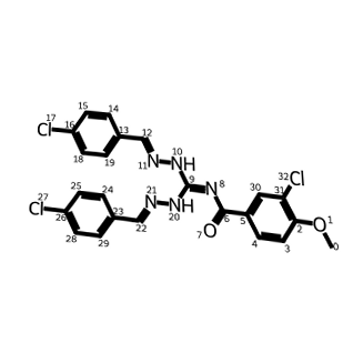 COc1ccc(C(=O)N=C(NN=Cc2ccc(Cl)cc2)NN=Cc2ccc(Cl)cc2)cc1Cl